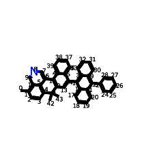 Cc1ccc2c3c(cncc13)-c1c(cc(-c3c4ccccc4c(-c4ccccc4)c4ccccc34)c3ccccc13)C2(C)C